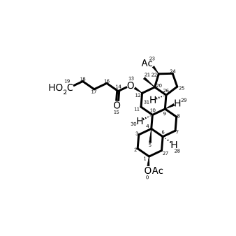 CC(=O)O[C@H]1CC[C@@]2(C)[C@@H](CC[C@@H]3[C@@H]2C[C@@H](OC(=O)CCCC(=O)O)[C@]2(C)[C@@H](C(C)=O)CC[C@@H]32)C1